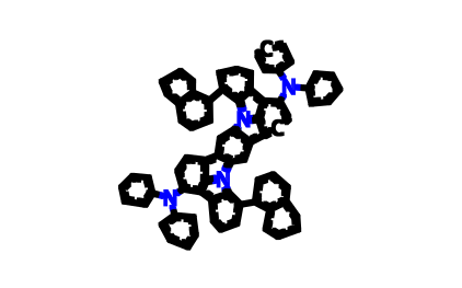 c1ccc(N(c2ccccc2)c2ccc3c4cc5c(cc4n4c6c(-c7cccc8ccccc78)cccc6c2c34)c2ccc(N(c3ccccc3)c3ccccc3)c3c4cccc(-c6cccc7ccccc67)c4n5c23)cc1